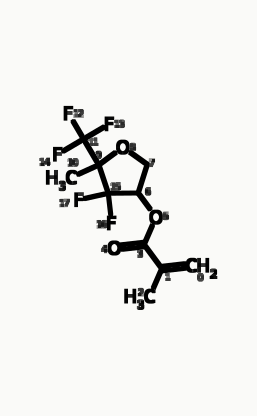 C=C(C)C(=O)OC1COC(C)(C(F)(F)F)C1(F)F